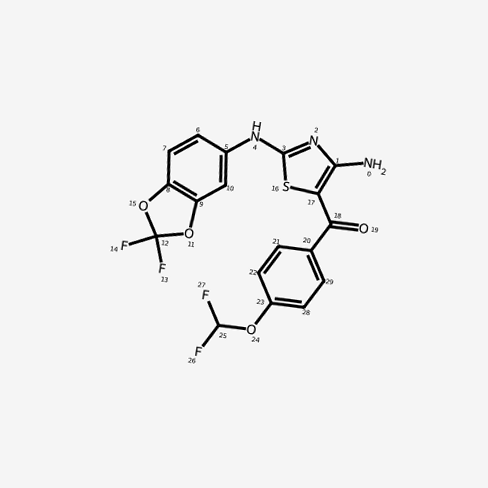 Nc1nc(Nc2ccc3c(c2)OC(F)(F)O3)sc1C(=O)c1ccc(OC(F)F)cc1